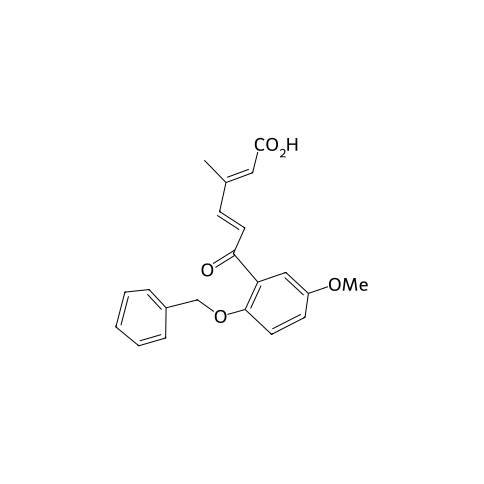 COc1ccc(OCc2ccccc2)c(C(=O)C=CC(C)=CC(=O)O)c1